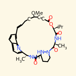 CO[C@@H]1CC/C=C/c2ccc3ccc(nc3c2)[C@@H](C)NC(=O)[C@@H]2CCCN(N2)C(=O)[C@H](C)NC(=O)[C@H](C(C)C)OC(=O)CC1